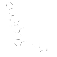 N=C(N)NCCSCc1ccccc1SC1=C(C(=O)O)N2C(=O)[C@@H](NC(=O)Cc3ccccc3)[C@@H]2SC1